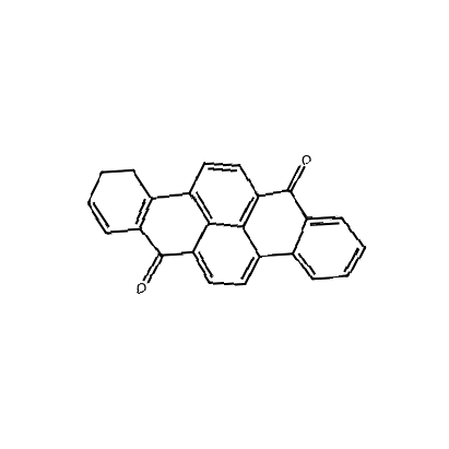 O=C1C2=C(CCC=C2)c2ccc3c4c(ccc1c24)-c1ccccc1C3=O